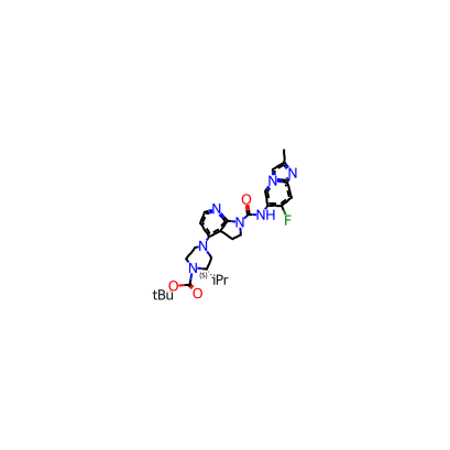 Cc1cn2cc(NC(=O)N3CCc4c(N5CCN(C(=O)OC(C)(C)C)[C@@H](C(C)C)C5)ccnc43)c(F)cc2n1